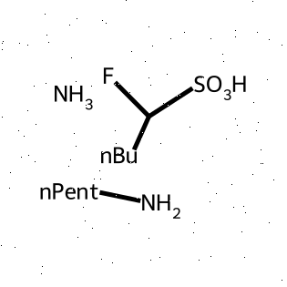 CCCCC(F)S(=O)(=O)O.CCCCCN.N